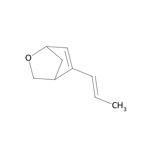 CC=CC1=CC2CC1CO2